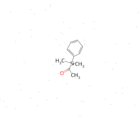 CC(=O)[Si](C)(C)c1ccccc1